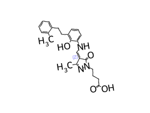 CC1=NN(CCCC(=O)O)C(=O)/C1=C\Nc1cccc(CCc2ccccc2C)c1O